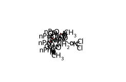 CCCN(CC(=O)N(CCC)CC(=O)N(CCC)CC(=O)N(CC(N)=O)Cc1cn(C)nn1)C(=O)CN(CCC)C(=O)CN(CCC)C(=O)CN(Cc1cn(C)nn1)C(=O)CNC(=O)CCCc1ccc(N(CCCl)CCCl)cc1